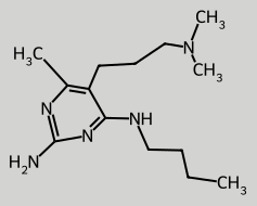 CCCCNc1nc(N)nc(C)c1CCCN(C)C